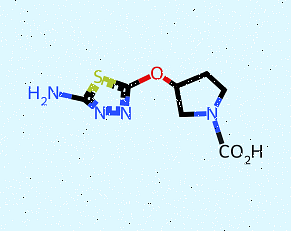 Nc1nnc(OC2CCN(C(=O)O)C2)s1